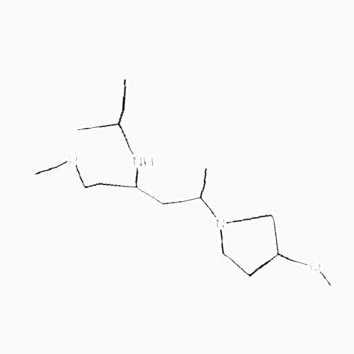 COCC(CC(C)N1CCC(OC)C1)NC(C)C